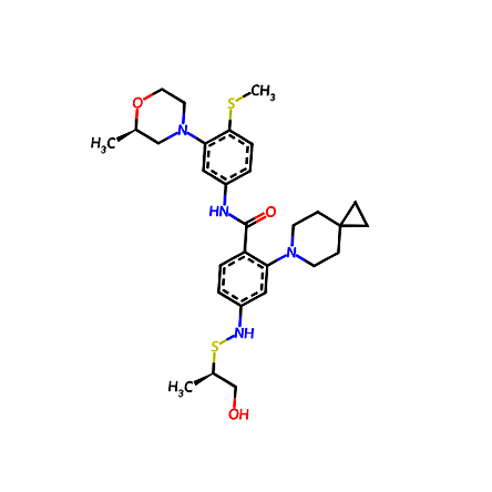 CSc1ccc(NC(=O)c2ccc(NS[C@H](C)CO)cc2N2CCC3(CC2)CC3)cc1N1CCO[C@H](C)C1